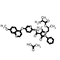 CC(=O)O.COc1ccc2c(Oc3ccc(NC(=O)c4c(C)n(C[C@@H](C)OC(=O)[C@H](C)N)n(-c5ccccc5)c4=O)nc3)ccnc2c1